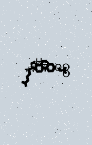 COC(CO[C@H]1CC[C@@]2(C)C(=CC[C@H]3[C@@H]4CC[C@H]([C@H](C)CCCC(C)C)[C@@]4(C)CC[C@@H]32)C1)OC